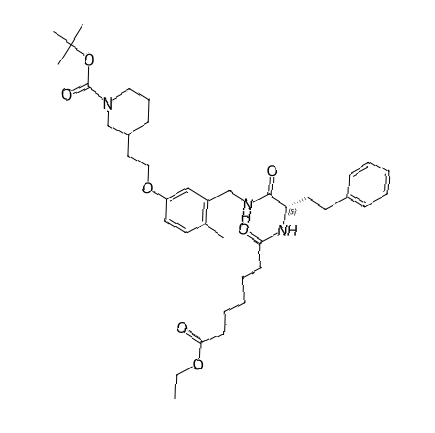 CCOC(=O)CCCCCC(=O)N[C@@H](CCc1ccccc1)C(=O)NCc1cc(OCCC2CCCN(C(=O)OC(C)(C)C)C2)ccc1C